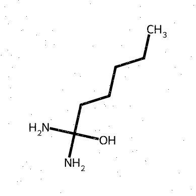 CCCCCC(N)(N)O